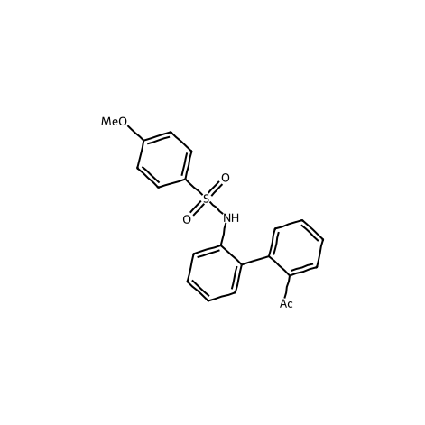 COc1ccc(S(=O)(=O)Nc2ccccc2-c2ccccc2C(C)=O)cc1